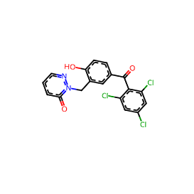 O=C(c1ccc(O)c(Cn2ncccc2=O)c1)c1c(Cl)cc(Cl)cc1Cl